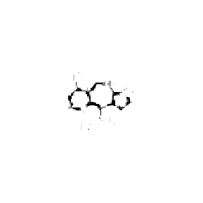 Cl.NC1=c2nccc(F)c2=CNc2sccc21